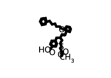 COC(=O)CSCCC(C=Cc1ccccc1OCCCCCc1ccccc1)Cc1ccc(C(=O)O)cc1